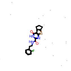 O=C(NCCc1ccccc1F)c1nc2sc3c(c2c(=O)[nH]1)CCC3